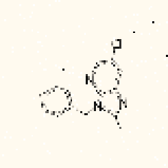 Cc1nc2cc(Cl)cnc2n1Cc1ccccc1